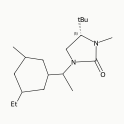 CCC1CC(C)CC(C(C)N2C[C@H](C(C)(C)C)N(C)C2=O)C1